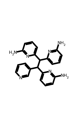 Nc1cccc(C(c2cccnc2)C(c2cccc(N)n2)c2cccc(N)n2)n1